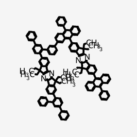 CCC1(CC)c2cc(-c3ccc(-c4ccccc4)cc3-c3ccccc3)ccc2-c2nc3c(nc21)-c1ccc(-c2ccc(-c4ccccc4)cc2-c2cccc(-c4ccc5c(-c6ccccc6)c6ccccc6c(-c6ccc7c(c6)C(CC)(CC)c6nc8c(nc6-7)C(CC)(CC)c6cc(-c7c9ccccc9c(-c9ccccc9)c9ccccc79)ccc6-8)c5c4)c2)cc1C3(CC)CC